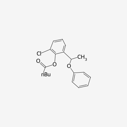 CCCCC(=O)Oc1c(Cl)cccc1C(C)Oc1ccccc1